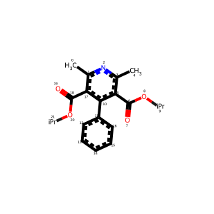 Cc1nc(C)c(C(=O)OC(C)C)c(-c2ccccc2)c1C(=O)OC(C)C